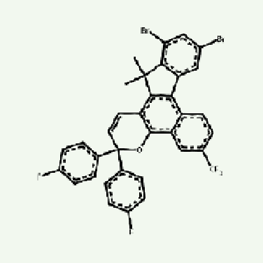 CC1(C)c2c(Br)cc(Br)cc2-c2c1c1c(c3cc(C(F)(F)F)ccc23)OC(c2ccc(F)cc2)(c2ccc(F)cc2)C=C1